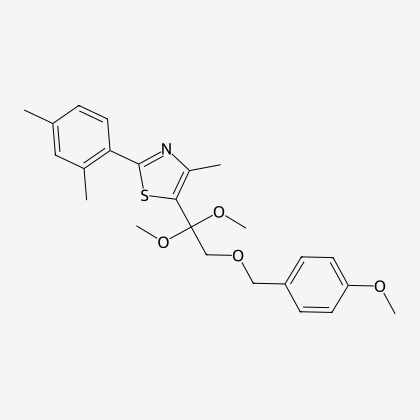 COc1ccc(COCC(OC)(OC)c2sc(-c3ccc(C)cc3C)nc2C)cc1